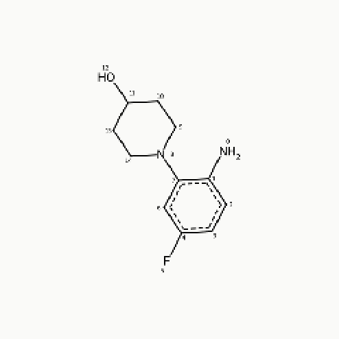 Nc1ccc(F)cc1N1CCC(O)CC1